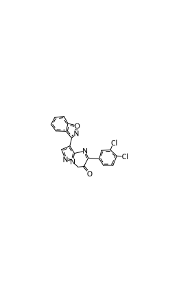 O=C1Cn2ncc(-c3noc4ccccc34)c2N=C1c1ccc(Cl)c(Cl)c1